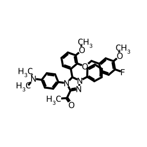 COc1cc(COc2c(OC)cccc2C2N(c3ccccc3)N=C(C(C)=O)N2c2ccc(N(C)C)cc2)ccc1F